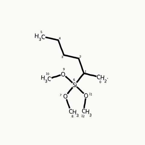 [CH2]C(CCCC)[Si](OC)(OC)OC